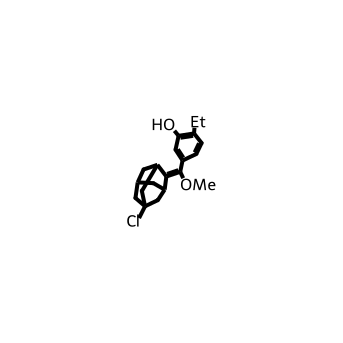 CCc1ccc(C(OC)=C2C3CC4CC2CC(Cl)(C4)C3)cc1O